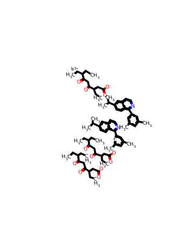 CCC(CC)C(=O)CC(=O)C(CC)CC(=O)[O-].CCC(CC)C(=O)CC(=O)C(CC)CC(=O)[O-].CCC(CC)C(=O)CC(=O)C(CC)CC(=O)[O-].Cc1cc(C)cc(-c2nccc3cc(C(C)C)ccc23)c1.Cc1cc(C)cc(-c2nccc3cc(C(C)C)ccc23)c1.[Ir+3]